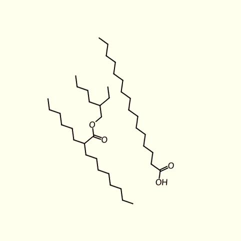 CCCCCCCCC(CCCCCC)C(=O)OCC(CC)CCCC.CCCCCCCCCCCCCCCC(=O)O